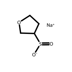 O=S([O-])C1CCOC1.[Na+]